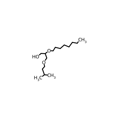 CCCCCCCCOC(CO)COCCC(C)C